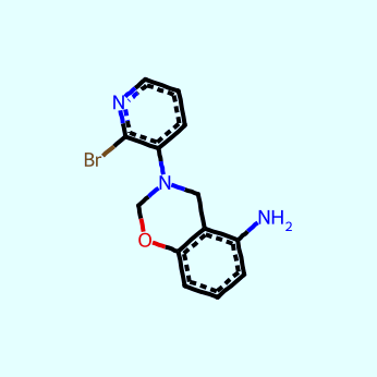 Nc1cccc2c1CN(c1cccnc1Br)CO2